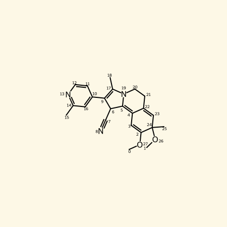 COC1=CC2=C3C(C#N)C(c4ccnc(C)c4)=C(C)N3CCC2=CC1(C)OC